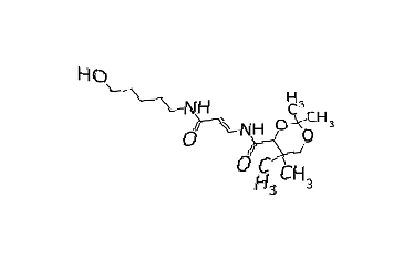 CC1(C)OCC(C)(C)C(C(=O)N/C=C/C(=O)NCCCCCO)O1